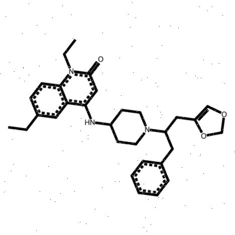 CCc1ccc2c(c1)c(NC1CCN(C(CC3=COCO3)Cc3ccccc3)CC1)cc(=O)n2CC